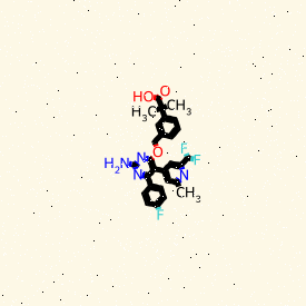 Cc1cc(-c2c(OCc3cccc(C(C)(C)C(=O)O)c3)nc(N)nc2-c2ccc(F)cc2)cc(C(F)F)n1